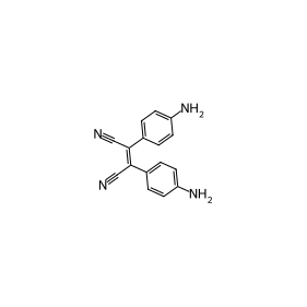 N#C/C(=C(\C#N)c1ccc(N)cc1)c1ccc(N)cc1